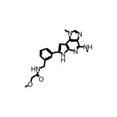 CNc1nc2[nH]c(-c3cccc(CNC(=O)COC)c3)cc2c2c1ncn2C